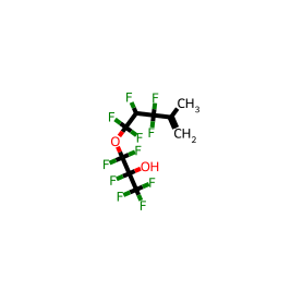 C=C(C)C(F)(F)C(F)C(F)(F)OC(F)(F)C(O)(F)C(F)(F)F